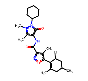 CCC1CC(C)CC(C)=C1c1onc(C(=O)Nc2c(C)n(C)n(C3CCCCC3)c2=O)c1C